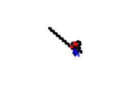 CCCCCCCCCCCCCCCCCCn1ccnc1C(CC)C(C)(Cc1ccccc1)c1ccccc1